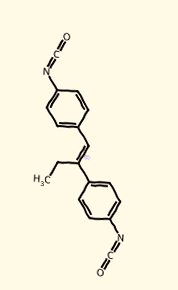 CC/C(=C\c1ccc(N=C=O)cc1)c1ccc(N=C=O)cc1